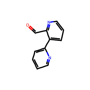 O=[C]c1ncccc1-c1ccccn1